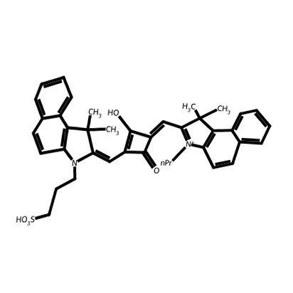 CCC[N+]1=C(/C=C2\C(=O)C(/C=C3/N(CCCS(=O)(=O)O)c4ccc5ccccc5c4C3(C)C)=C2O)C(C)(C)c2c1ccc1ccccc21